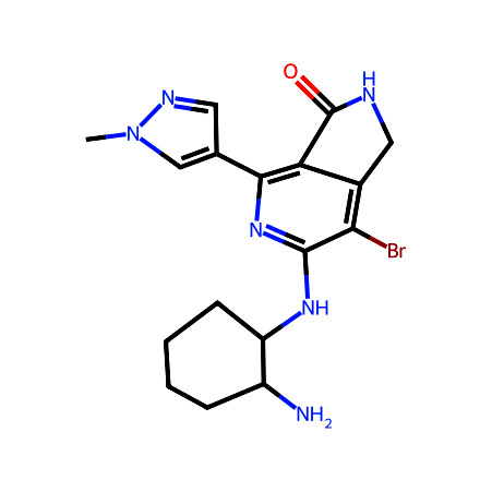 Cn1cc(-c2nc(NC3CCCCC3N)c(Br)c3c2C(=O)NC3)cn1